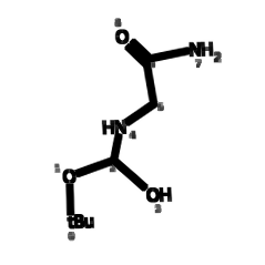 CC(C)(C)OC(O)NCC(N)=O